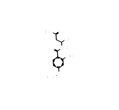 COc1ccc(C(=O)NC(C)CC(=O)O)c(O)c1